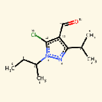 CCC(C)n1nc(C(C)C)c(C=O)c1Cl